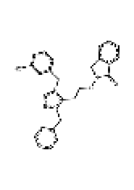 O=C1c2ccccc2CN1OCCc1c(Cc2ccccc2)ncn1Cc1cccc(O)c1